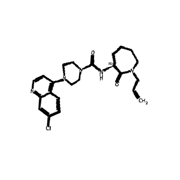 C=CCN1CCCC[C@H](NC(=O)N2CCN(c3ccnc4cc(Cl)ccc34)CC2)C1=O